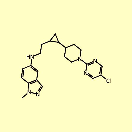 Cn1ncc2cc(NCCC3CC3C3CCN(c4ncc(Cl)cn4)CC3)ccc21